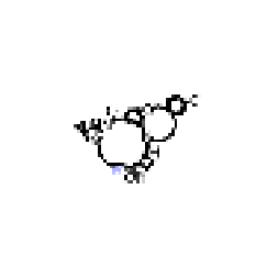 O=C1NS(=O)(=O)[C@H](CC2CC2)CC/C=C/[C@H](O)[C@@H]2CC[C@H]2CN2CCCCc3cc(Cl)ccc3COc3ccc1cc32